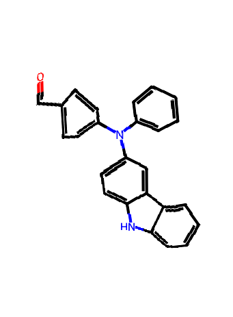 O=Cc1ccc(N(c2ccccc2)c2ccc3[nH]c4ccccc4c3c2)cc1